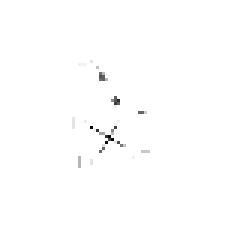 CC[N+](=C=N)C(C)(C)CC